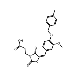 COc1cc(/C=C2/SC(=S)N(CCC(=O)O)C2=O)ccc1OCc1ccc(C)cc1